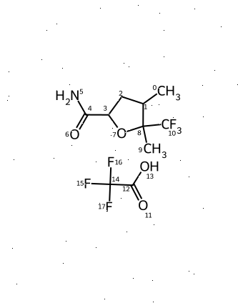 CC1CC(C(N)=O)OC1(C)C(F)(F)F.O=C(O)C(F)(F)F